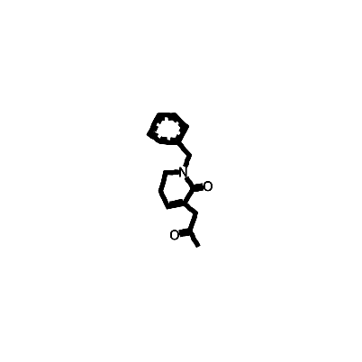 CC(=O)CC1=CCCN(Cc2ccccc2)C1=O